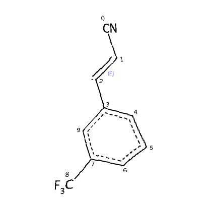 N#C/C=[C]/c1cccc(C(F)(F)F)c1